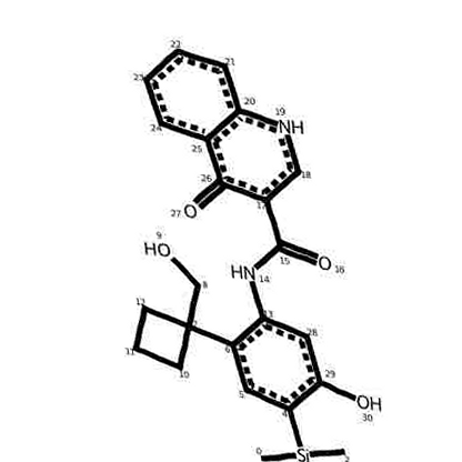 C[Si](C)(C)c1cc(C2(CO)CCC2)c(NC(=O)c2c[nH]c3ccccc3c2=O)cc1O